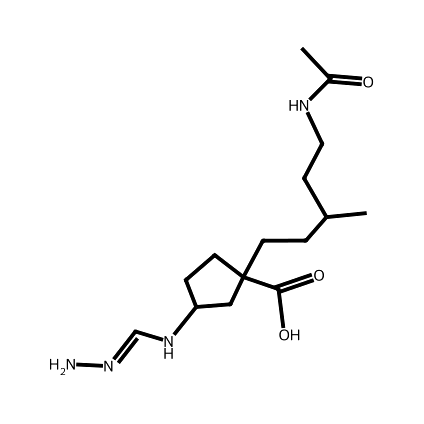 CC(=O)NCCC(C)CCC1(C(=O)O)CCC(NC=NN)C1